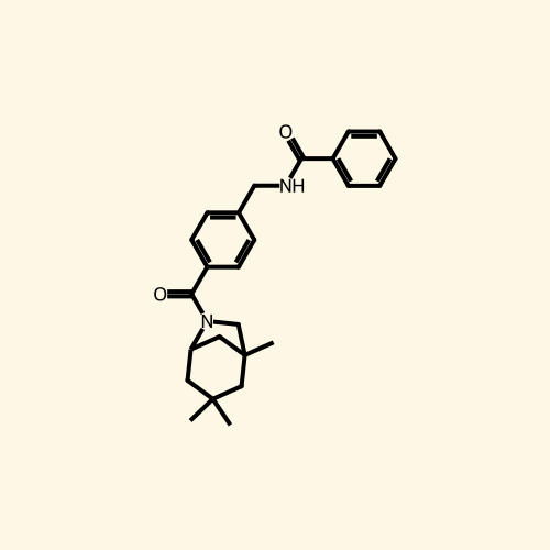 CC1(C)CC2CC(C)(CN2C(=O)c2ccc(CNC(=O)c3ccccc3)cc2)C1